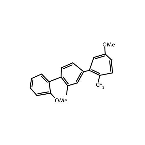 COc1[c]cc(C(F)(F)F)c(-c2ccc(-c3ccccc3OC)c(C)c2)c1